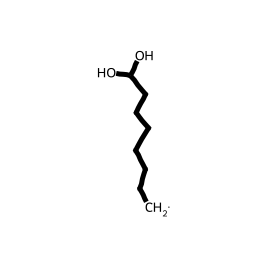 [CH2]CCCCCCC(O)O